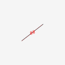 CCCCCCCCCCCCCCCCC=COC(=O)CCC(=O)OC=CCCCCCCCCCCCCCCCC